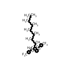 CC(C)=CCCC(C)=CCCC(C)=CCCC(C)=CCCC(C)=CCCC(C)=CCCC(C)=CCc1c(C)c(OC(=O)c2ccc(C(F)(F)F)cc2)c2ccccc2c1OC(=O)c1ccc(C(F)(F)F)cc1